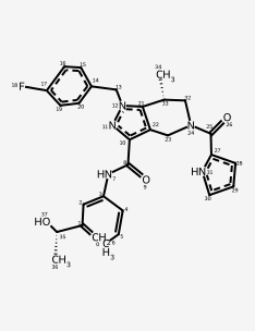 C=C(/C=C(\C=C/C)NC(=O)c1nn(Cc2ccc(F)cc2)c2c1CN(C(=O)c1ccc[nH]1)C[C@H]2C)[C@H](C)O